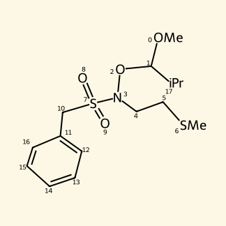 COC(ON(CCSC)S(=O)(=O)Cc1ccccc1)C(C)C